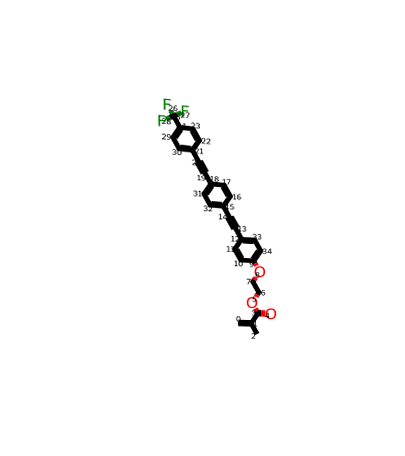 C=C(C)C(=O)OCCOc1ccc(C#Cc2ccc(C#Cc3ccc(C(F)(F)F)cc3)cc2)cc1